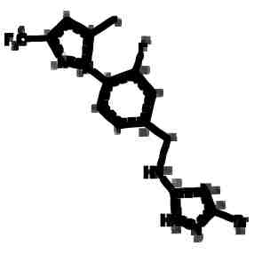 Cc1cc(C(F)(F)F)nn1-c1ccc(CNc2nc(Br)n[nH]2)cc1F